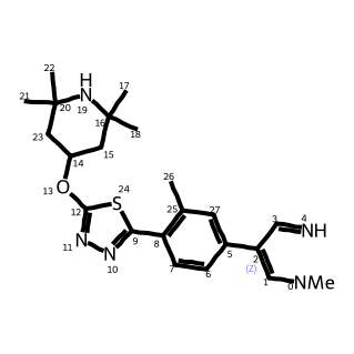 CN/C=C(\C=N)c1ccc(-c2nnc(OC3CC(C)(C)NC(C)(C)C3)s2)c(C)c1